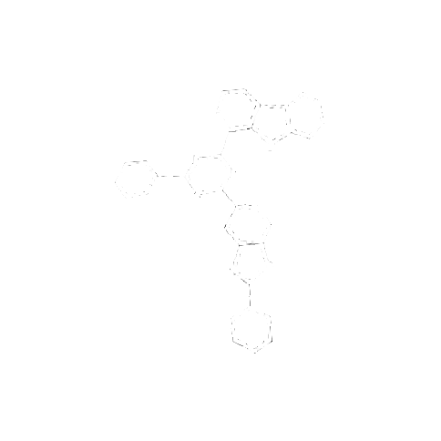 c1ccc(-c2nc(-c3ccc4oc(-c5ccccc5)nc4c3)nc(-c3cccc4c3sc3ccccc34)n2)cc1